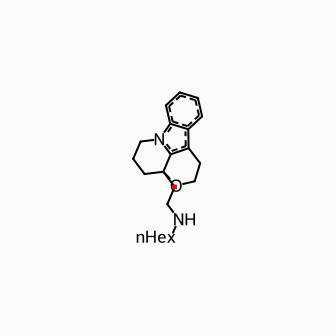 CCCCCCNCCC12CCCn3c1c(c1ccccc13)CCO2